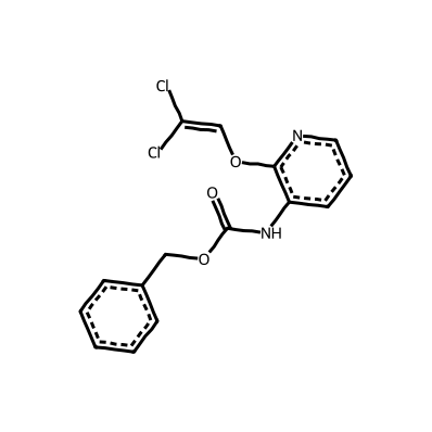 O=C(Nc1cccnc1OC=C(Cl)Cl)OCc1ccccc1